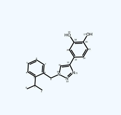 CC(C)c1ccccc1Cn1cc(-c2ccc(O)c(O)c2)nn1